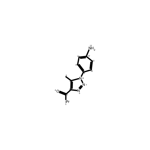 Cc1c(C(=O)C(C)C)nnn1-c1ccc(N)cc1